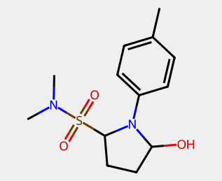 Cc1ccc(N2C(O)CCC2S(=O)(=O)N(C)C)cc1